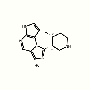 C[C@@H]1CCNC[C@@H]1c1ncc2cnc3[nH]ccc3n12.Cl